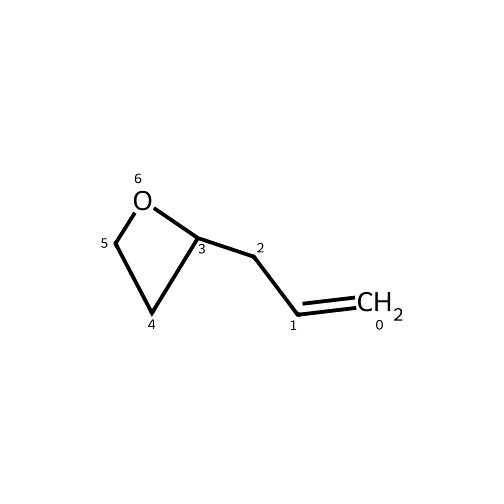 C=CCC1CCO1